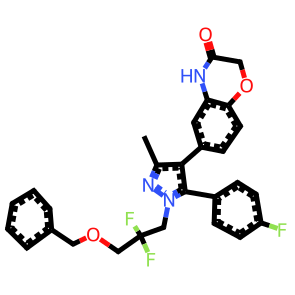 Cc1nn(CC(F)(F)COCc2ccccc2)c(-c2ccc(F)cc2)c1-c1ccc2c(c1)NC(=O)CO2